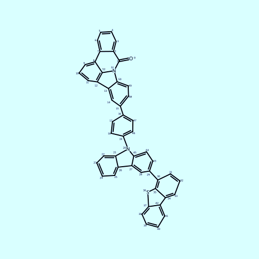 O=c1c2ccccc2c2cccc3c4cc(-c5ccc(-n6c7ccccc7c7cc(-c8cccc9c8sc8ccccc89)ccc76)cc5)ccc4n1c23